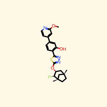 COc1cc(-c2ccc(-c3nnc(O[C@H]4C[C@]5(C)CC[C@@](C)(C5)[C@H]4F)s3)c(O)c2)ccn1